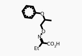 CCC(=NOCC(C)Oc1ccccc1)C(=O)O